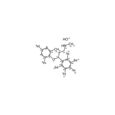 Cl.[2H]c1cc([2H])c(OC(CCNC)c2c([2H])c([2H])c([2H])c([2H])c2[2H])c(C)c1